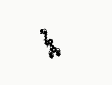 C=C1/C(=C\C=C2/CCC[C@]3(C)C([C@H](C)CCCC(C)(C)O[Si](C)(C)C)=CC[C@@H]23)C[C@H](O[Si](C)(C)C(C)(C)C)C[C@H]1O[Si](C)(C)C(C)(C)C